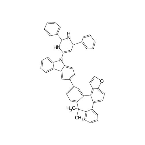 CC1(C)c2ccccc2-c2ccc3occc3c2-c2cc(-c3ccc4c(c3)c3ccccc3n4C3=CC(c4ccccc4)NC(c4ccccc4)N3)ccc21